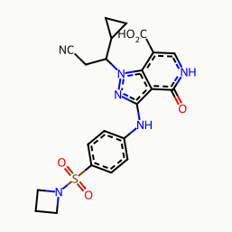 N#CCC(C1CC1)n1nc(Nc2ccc(S(=O)(=O)N3CCC3)cc2)c2c(=O)[nH]cc(C(=O)O)c21